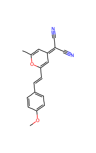 COc1ccc(C=CC2=CC(=C(C#N)C#N)C=C(C)O2)cc1